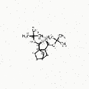 CC(C)(C)OC(=O)C1CC2CCC1(C(=O)OC(C)(C)C)C2